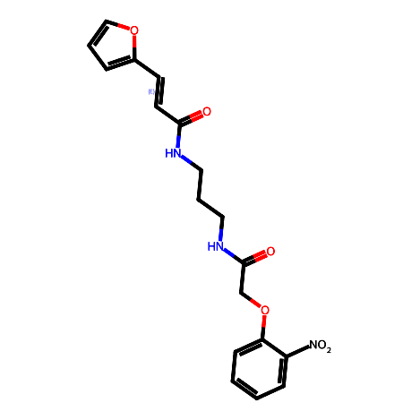 O=C(/C=C/c1ccco1)NCCCNC(=O)COc1ccccc1[N+](=O)[O-]